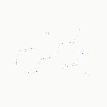 Cc1cc(-c2ccncc2)c(C#N)c(=O)[nH]1